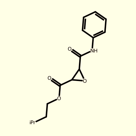 CC(C)CCOC(=O)C1OC1C(=O)Nc1ccccc1